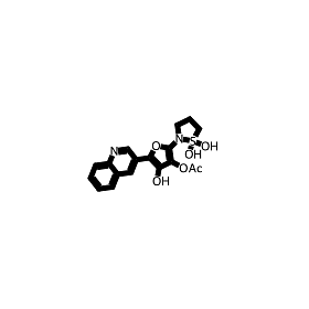 CC(=O)Oc1c(N2CCCS2(O)O)oc(-c2cnc3ccccc3c2)c1O